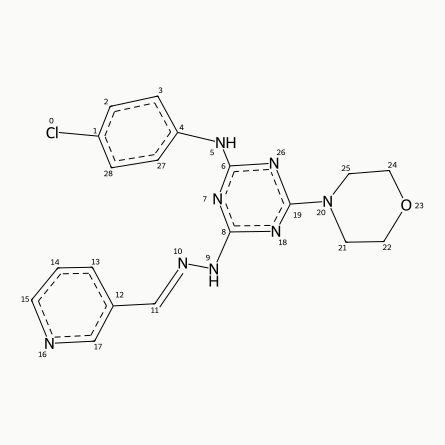 Clc1ccc(Nc2nc(N/N=C/c3cccnc3)nc(N3CCOCC3)n2)cc1